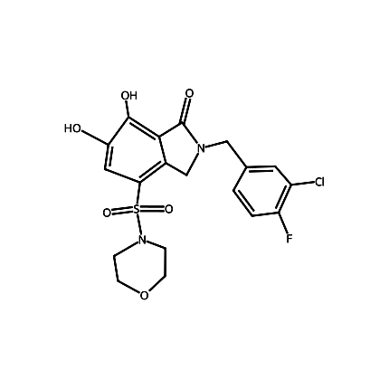 O=C1c2c(O)c(O)cc(S(=O)(=O)N3CCOCC3)c2CN1Cc1ccc(F)c(Cl)c1